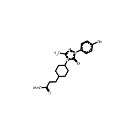 COC(=O)CCC1CCC(n2c(C)nn(-c3ccc(C#N)cc3)c2=O)CC1